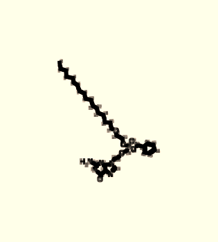 CCCCCCCCCCCCCCCCCCOCCOP(=O)(COCCN1C=NC2C(=O)N=C(N)N=C21)OCc1ccccc1